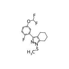 CSn1nc(-c2cc(OC(F)F)ccc2F)c2c1CCCC2